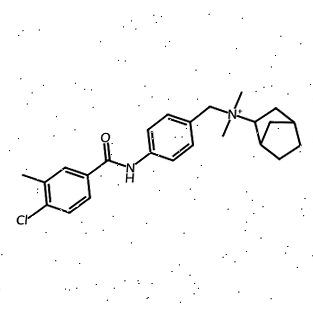 Cc1cc(C(=O)Nc2ccc(C[N+](C)(C)C3CC4CCC3C4)cc2)ccc1Cl